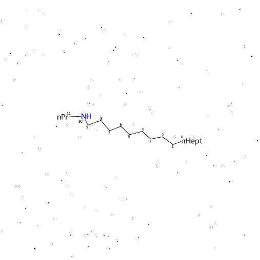 CCCCCCCCCCCCCCCCNCCC